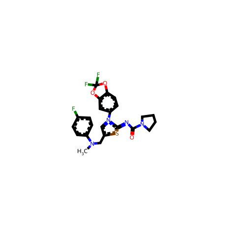 CN(Cc1cn(-c2ccc3c(c2)OC(F)(F)O3)c(=NC(=O)N2CCCC2)s1)c1ccc(F)cc1